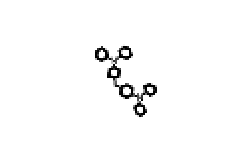 c1ccc(N(c2ccccc2)c2ccc(Cc3ccc(N(c4ccccc4)c4ccccc4)cc3)cc2)cc1